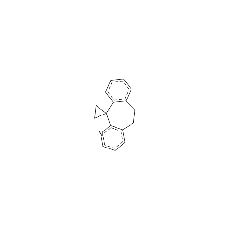 c1ccc2c(c1)CCc1cccnc1C21CC1